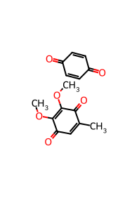 COC1=C(OC)C(=O)C(C)=CC1=O.O=C1C=CC(=O)C=C1